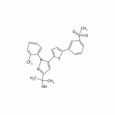 CC(C)(O)c1cc(-c2ccc(-c3cccc(S(C)(=O)=O)c3)s2)n(-c2ccccc2C(F)(F)F)n1